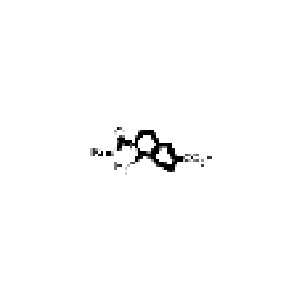 CC1c2ccc(C(=O)O)cc2CCN1C(=O)OC(C)(C)C